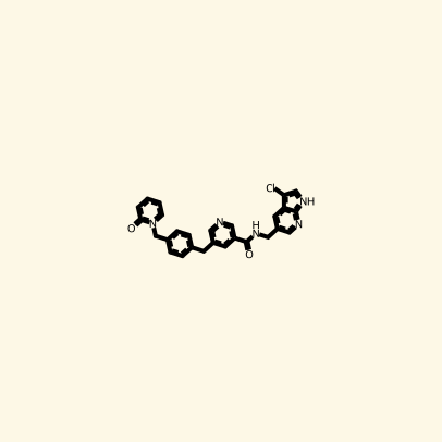 O=C(NCc1cnc2[nH]cc(Cl)c2c1)c1cncc(Cc2ccc(Cn3ccccc3=O)cc2)c1